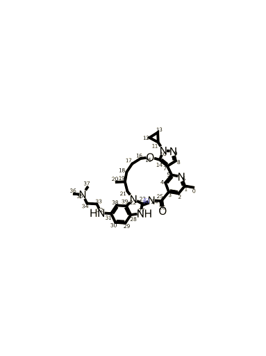 Cc1cc2cc(n1)-c1cnn(C3CC3)c1OCCCC(C)CN1/C(=N/C2=O)Nc2ccc(NCCN(C)C)cc21